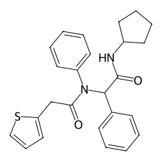 O=C(NC1CCCC1)C(c1ccccc1)N(C(=O)Cc1cccs1)c1ccccc1